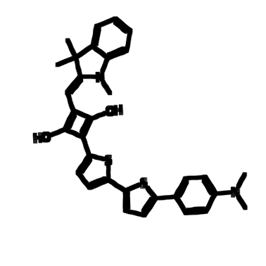 CN(C)c1ccc(-c2ccc(-c3ccc(C4=C(O)C(C=C5N(C)c6ccccc6C5(C)C)=C4O)s3)s2)cc1